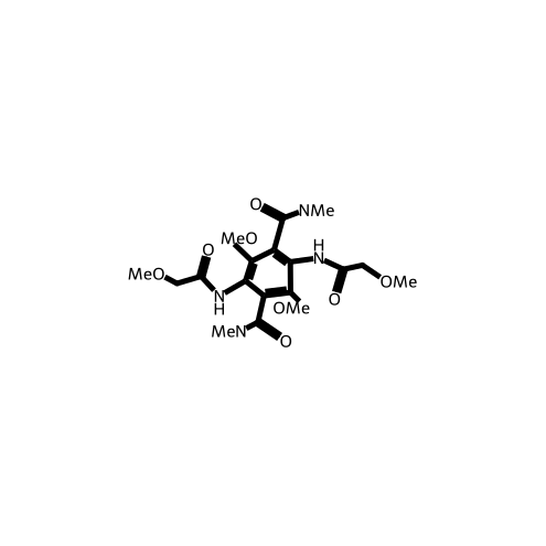 CNC(=O)c1c(NC(=O)COC)c(OC)c(C(=O)NC)c(NC(=O)COC)c1OC